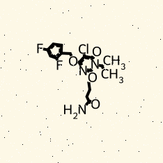 CC(C)n1c(OCCCC(N)=O)nc(OCc2ccc(F)cc2F)c(Cl)c1=O